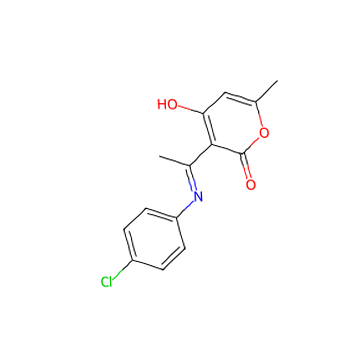 CC(=Nc1ccc(Cl)cc1)c1c(O)cc(C)oc1=O